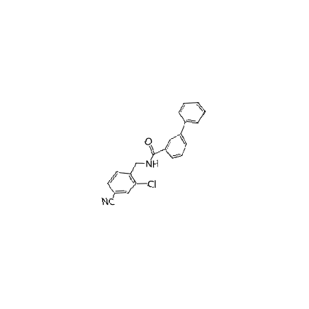 N#Cc1ccc(CNC(=O)c2cccc(-c3ccccc3)c2)c(Cl)c1